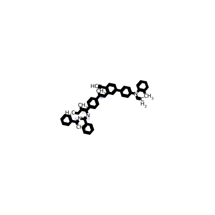 C#Cc1ccc(-c2ccc(N(C=C)C3=C(C)CCC=C3)cc2)cc1/C=C(\C)c1ccc(C(/N=C(\N=C(/C)c2ccccc2)c2ccccc2)=C(\C)CC)cc1